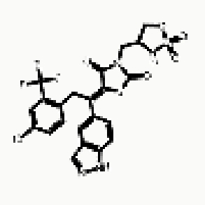 O=C1S/C(=C(/Cc2ccc(Cl)cc2C(F)(F)F)c2ccc3[nH]ncc3c2)C(=O)N1CC1COS(=O)(=O)N1